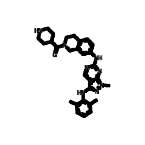 Cc1cccc(C)c1Nc1nn(C)c2nc(Nc3ccc4c(c3)CN(C(=O)C3CCNCC3)CC4)ncc12